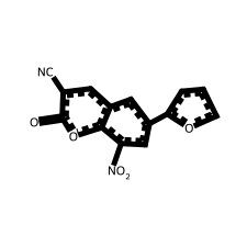 N#Cc1cc2cc(-c3ccco3)cc([N+](=O)[O-])c2oc1=O